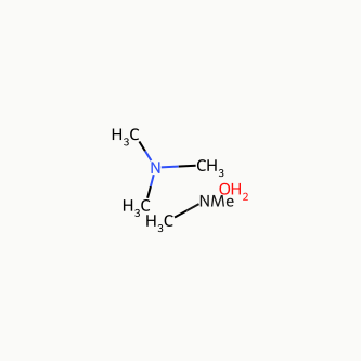 CN(C)C.CNC.O